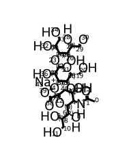 CC(=O)NC1[C@H]([C@H](O)[C@H](O)CO)O[C@@](O[C@H]2[C@@H](O)[C@@H](CO)O[C@@H](O[C@@H]([C@H](O)[C@@H](O)C=O)[C@H](O)CO)[C@@H]2O)(C(=O)[O-])C[C@@H]1O.[Na+]